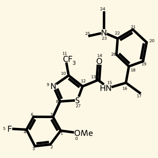 COc1ccc(F)cc1-c1nc(C(F)(F)F)c(C(=O)NC(C)c2cccc(N(C)C)c2)s1